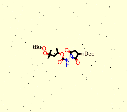 CCCCCCCCCCC1CC(=O)N(NC(=O)OC(C)CC(C)(C)OOC(C)(C)C)C1=O